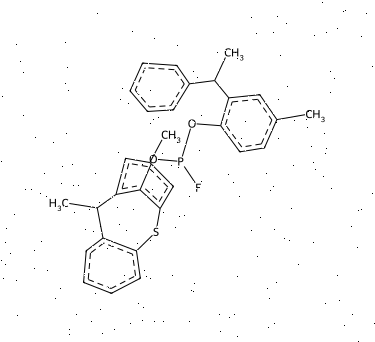 Cc1ccc(OP(F)Oc2c3cc(C)cc2C(C)c2ccccc2S3)c(C(C)c2ccccc2)c1